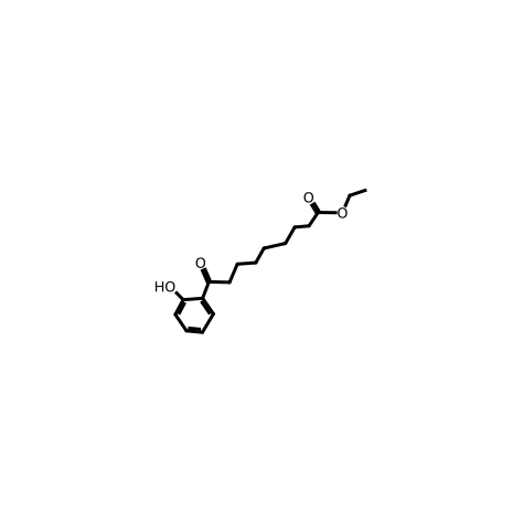 CCOC(=O)CCCCCCCC(=O)c1ccccc1O